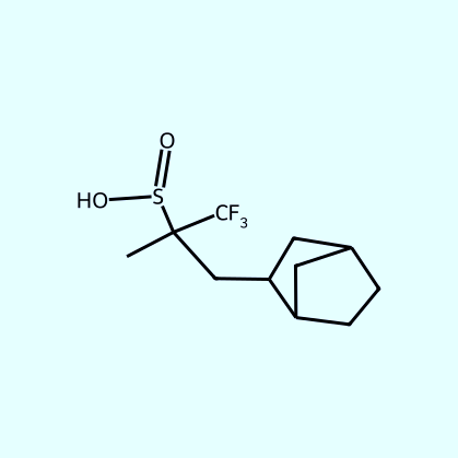 CC(CC1CC2CCC1C2)(S(=O)O)C(F)(F)F